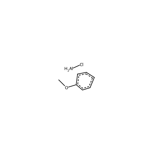 COc1ccccc1.[AlH2][Cl]